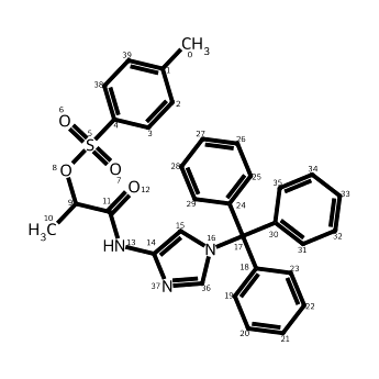 Cc1ccc(S(=O)(=O)OC(C)C(=O)Nc2cn(C(c3ccccc3)(c3ccccc3)c3ccccc3)cn2)cc1